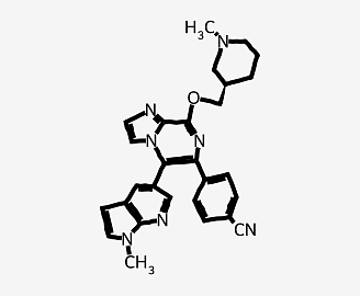 CN1CCC[C@@H](COc2nc(-c3ccc(C#N)cc3)c(-c3cnc4c(ccn4C)c3)n3ccnc23)C1